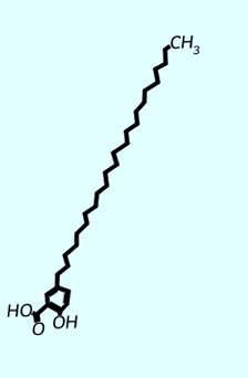 CCCCCCCCCCCCCCCCCCCCCCCCc1ccc(O)c(C(=O)O)c1